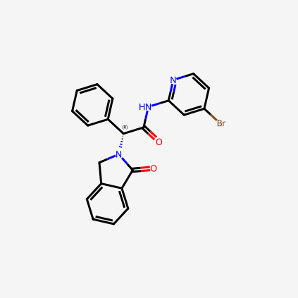 O=C(Nc1cc(Br)ccn1)[C@@H](c1ccccc1)N1Cc2ccccc2C1=O